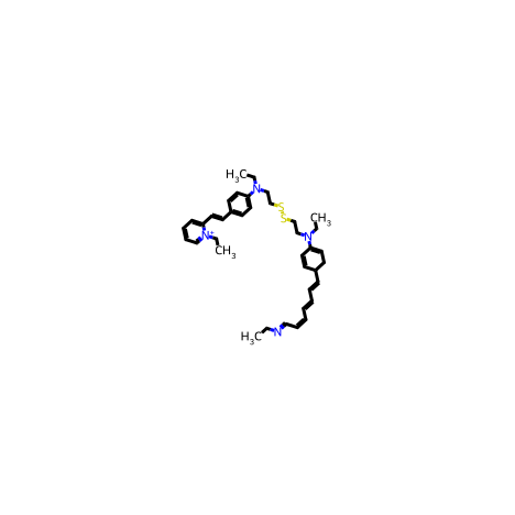 CC/N=C/C=C\C=C\C=C\C1C=CC(N(CC)CCSSCCN(CC)c2ccc(/C=C/c3cccc[n+]3CC)cc2)=CC1